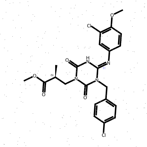 COC(=O)[C@@H](C)Cn1c(=O)[nH]/c(=N\c2ccc(OC)c(Cl)c2)n(Cc2ccc(Cl)cc2)c1=O